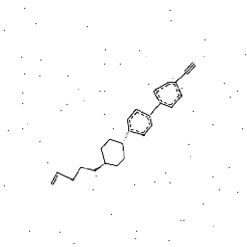 C#Cc1ccc(-c2ccc([C@H]3CC[C@H](CCCC=C)CC3)cc2)cc1